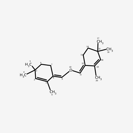 CC1=CC(C)(C)CC/C1=C\O/C=C1\CCC(C)(C)C=C1C